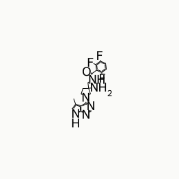 Cc1c[nH]c2ncnc(N3CC[C@](N)(CNC(=O)c4c(F)ccc(F)c4F)C3)c12